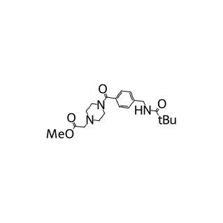 COC(=O)CN1CCN(C(=O)c2ccc(CNC(=O)C(C)(C)C)cc2)CC1